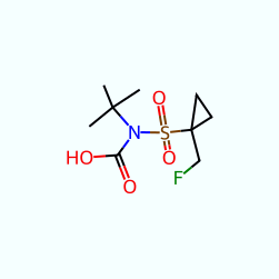 CC(C)(C)N(C(=O)O)S(=O)(=O)C1(CF)CC1